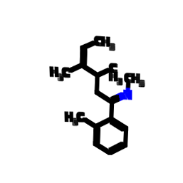 C/C=C(/C)C(C)C/C(=N\C)c1ccccc1C